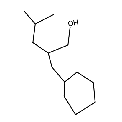 CC(C)CC(CO)CC1CCCCC1